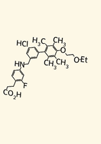 CCOCCOc1c(C)c(C)c(-c2cccc(CNc3ccc(CCC(=O)O)c(F)c3)c2)c(C)c1C.Cl